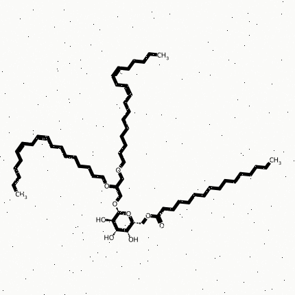 CCCCC/C=C\C/C=C\CCCCCCCCOCC(CO[C@@H]1O[C@H](COC(=O)CCCCCCCCCCCCCCC)[C@H](O)[C@H](O)[C@H]1O)OCCCCCCCC/C=C\C/C=C\CCCCC